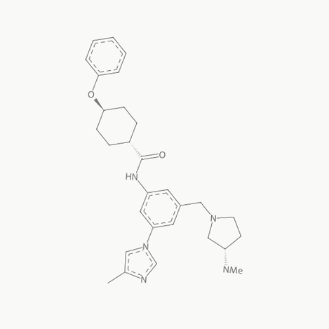 CN[C@H]1CCN(Cc2cc(NC(=O)[C@H]3CC[C@H](Oc4ccccc4)CC3)cc(-n3cnc(C)c3)c2)C1